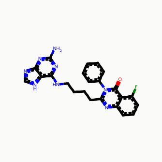 Nc1nc(NCCCCc2nc3cccc(F)c3c(=O)n2-c2ccccc2)c2[nH]cnc2n1